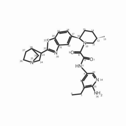 CCc1cc(NC(=O)C(=O)N2C[C@@H](C)CC[C@@H]2c2ccc3sc(C4CN5CCC4C5)nc3c2)cnc1N